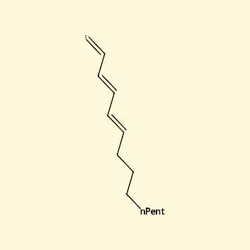 [C]=CC=CC=CCCCCCCCC